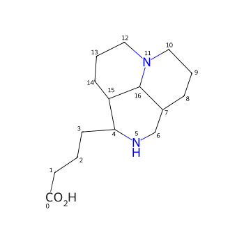 O=C(O)CCCC1NCC2CCCN3CCCC1C23